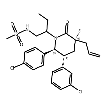 C=CC[C@@]1(C)C[C@H](c2cccc(Cl)c2)[C@@H](c2ccc(Cl)cc2)N(C(CC)CNS(C)(=O)=O)C1=O